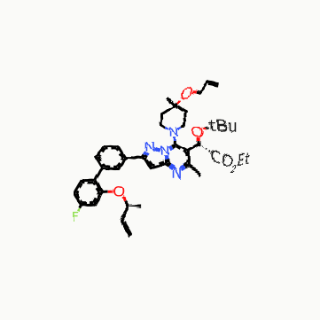 C=CCOC1(C)CCN(c2c([C@H](OC(C)(C)C)C(=O)OCC)c(C)nc3cc(-c4cccc(-c5ccc(F)cc5O[C@@H](C)C=C)c4)nn23)CC1